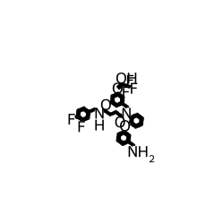 NCc1cccc(Oc2ccccc2N(Cc2ccccc2)C(=O)CCC(=O)NCc2ccc(F)c(F)c2)c1.O=C(O)C(F)(F)F